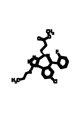 CCCSc1nnc2n1-c1ccc(Cl)cc1C(c1ccccc1F)=N[C@H]2CCC(=O)OC